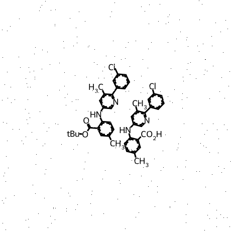 Cc1ccc(Nc2cnc(-c3cccc(Cl)c3)c(C)c2)c(C(=O)O)c1.Cc1ccc(Nc2cnc(-c3cccc(Cl)c3)c(C)c2)c(C(=O)OC(C)(C)C)c1